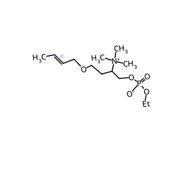 C/C=C/COCCC(COP(=O)([O-])OCC)[N+](C)(C)C